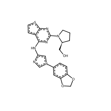 OC[C@@H]1CCCN1c1nc(Nc2cn(-c3ccc4c(c3)OCO4)cn2)c2ccsc2n1